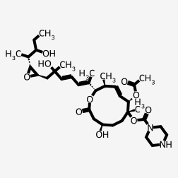 CCC(O)C(C)[C@H]1O[C@@H]1CC(C)(O)/C=C/C=C(\C)[C@H]1OC(=O)C[C@H](O)CC[C@@](C)(OC(=O)N2CCNCC2)[C@@H](OC(C)=O)/C=C/[C@@H]1C